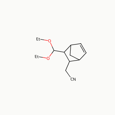 CCOC(OCC)C1C2C=CC(C2)C1CC#N